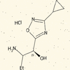 CCC(N)[C@H](O)c1nc(C2CC2)no1.Cl